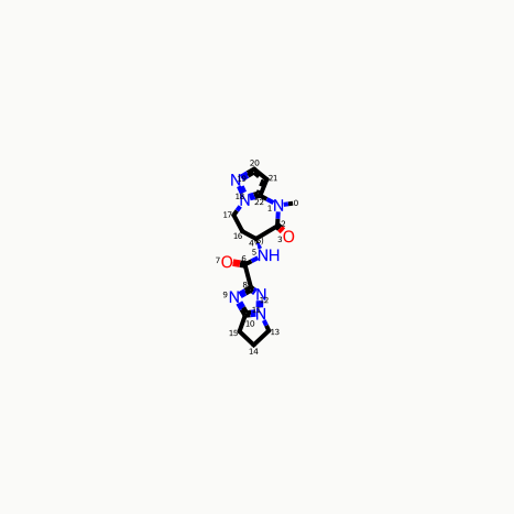 CN1C(=O)[C@@H](NC(=O)c2nc3n(n2)CCC3)CCn2nccc21